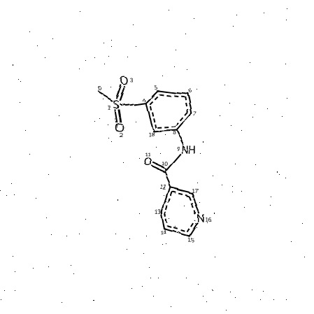 CS(=O)(=O)c1cccc(NC(=O)c2cccnc2)c1